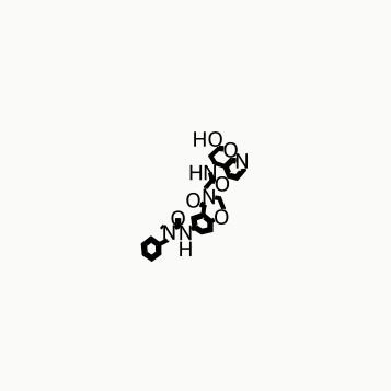 CN(Cc1ccccc1)C(=O)Nc1ccc2c(c1)C(=O)N(CC(=O)NC(CC(=O)O)c1cccnc1)CCO2